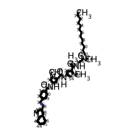 CCCCCCCCCCCCC[N+](C)(C)CCNC(=O)c1cc(NC(=O)c2cc(NC(=O)c3ccc(/C=C/c4cnc5ccccc5c4)cc3)cn2C)cn1C